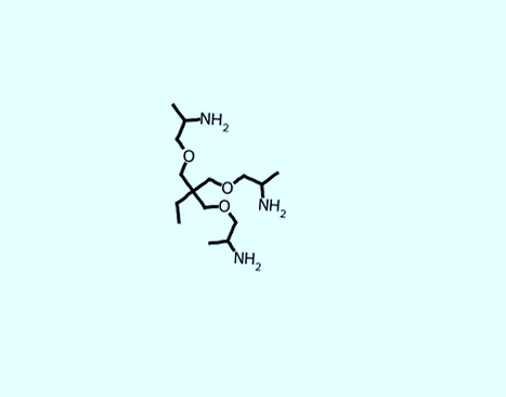 CCC(COCC(C)N)(COCC(C)N)COCC(C)N